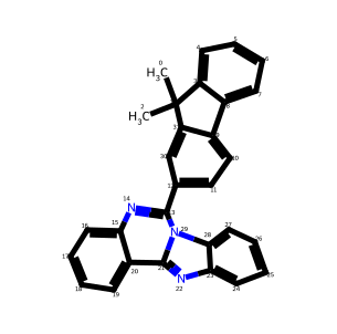 CC1(C)c2ccccc2-c2ccc(-c3nc4ccccc4c4nc5ccccc5n34)cc21